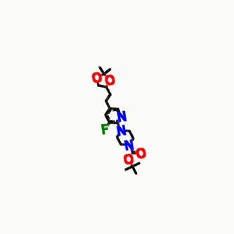 CC(C)(C)OC(=O)N1CCN(c2ncc(CCC3COC(C)(C)O3)cc2F)CC1